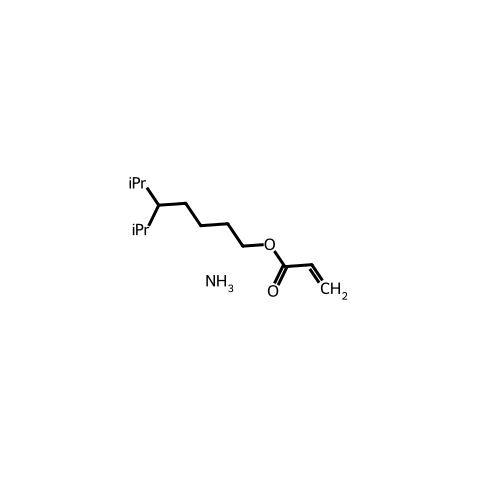 C=CC(=O)OCCCCC(C(C)C)C(C)C.N